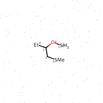 CCC(CSC)O[SiH3]